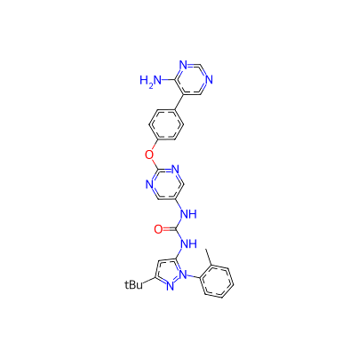 Cc1ccccc1-n1nc(C(C)(C)C)cc1NC(=O)Nc1cnc(Oc2ccc(-c3cncnc3N)cc2)nc1